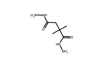 CC(C)(CC(=O)NN)C(=O)NN